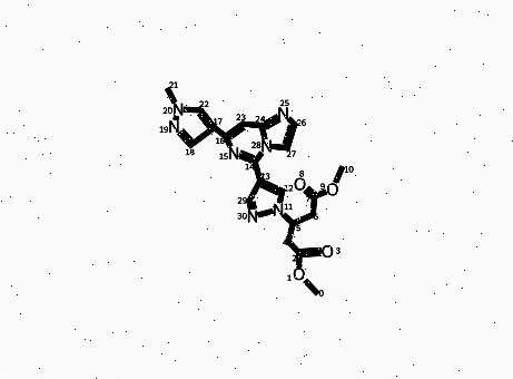 COC(=O)CC(CC(=O)OC)n1cc(-c2nc(-c3cnn(C)c3)cc3nccn23)cn1